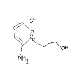 Nc1cccc[n+]1CCO.[Cl-]